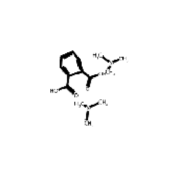 CN(C)C.CN(C)C.O=C(O)c1ccccc1C(=O)O